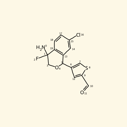 NC1(F)COC(c2csc(C=O)c2)c2cc(Cl)ccc21